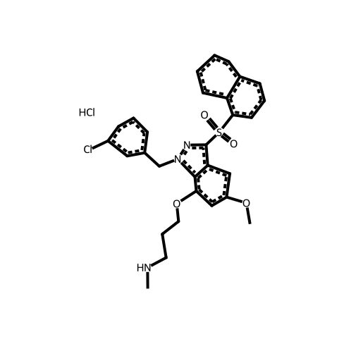 CNCCCOc1cc(OC)cc2c(S(=O)(=O)c3cccc4ccccc34)nn(Cc3cccc(Cl)c3)c12.Cl